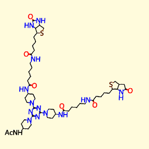 CC(=O)NC1CCN(c2nc(N3CCC(NC(=O)CCCCCNC(=O)CCCCC4SCC5CC(=O)NC54)CC3)nc(N3CCC(NC(=O)CCCCCNC(=O)CCCCC4SCC5NC(=O)NC54)CC3)n2)CC1